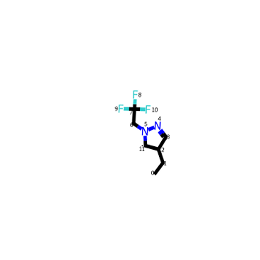 CCC1[C]=NN(CC(F)(F)F)[CH]1